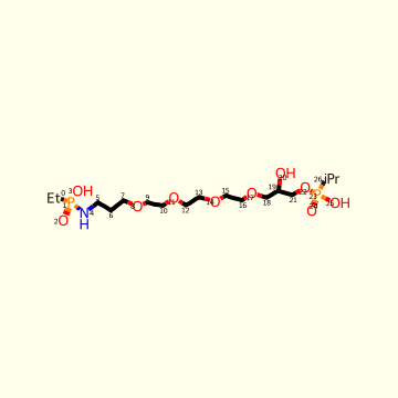 CCP(=O)(O)NCCCOCCOCCOCCOCC(O)COP(=O)(O)C(C)C